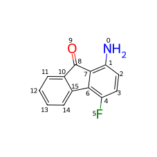 Nc1ccc(F)c2c1C(=O)c1ccccc1-2